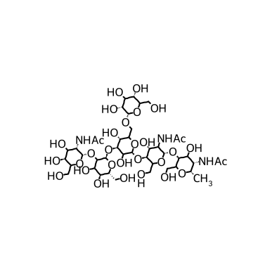 CC(=O)NC1[C@H](O[C@@H]2C(CO)O[C@@H](C)[C@@H](NC(C)=O)C2O)OC(CO)[C@@H](O[C@@H]2OC(CO[C@H]3OC(CO)[C@@H](O)C(O)[C@H]3O)[C@@H](O)[C@H](O[C@H]3O[C@H](CO)[C@@H](O)C(O)C3O[C@@H]3OC(CO)[C@@H](O)C(O)[C@@H]3NC(C)=O)C2O)[C@@H]1O